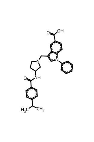 CC(C)c1ccc(C(=O)NC2CCN(Cc3cn(-c4ccccc4)c4ccc(C(=O)O)cc34)C2)cc1